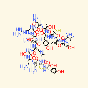 CC[C@H](C)[C@H](NC(=O)[C@@H]1C[C@@H](O)CN1C(=O)[C@@H](N)C(C)C)C(=O)N[C@H](C(=O)N[C@@H](Cc1ccc(O)cc1)C(=O)N[C@H](C(=O)N[C@@H](CC(N)=O)C(=O)N[C@@H](CCCNC(=N)N)C(=O)N[C@@H](CCN)C(=O)N[C@H](C(=O)N[C@H](CCNC(C)C)C(=O)N[C@@H](CO)C(=O)N[C@@H](CCN)C(=O)N[C@@H](CCN)C(=O)N[C@@H](CS)C(=O)N[C@@H](Cc1ccc(O)cc1)C(=O)O)[C@@H](C)O)[C@@H](C)O)C(C)(C)S